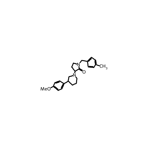 COc1ccc(C2CCCN(C3CCN(Cc4ccc(C)cc4)C3=O)C2)cc1